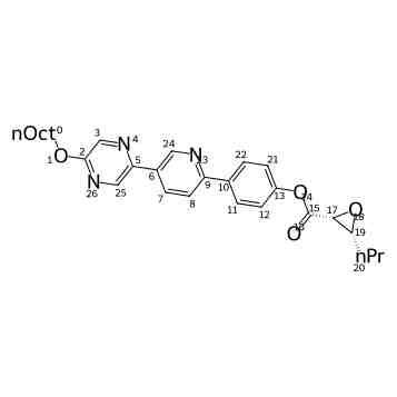 CCCCCCCCOc1cnc(-c2ccc(-c3ccc(OC(=O)[C@@H]4O[C@@H]4CCC)cc3)nc2)cn1